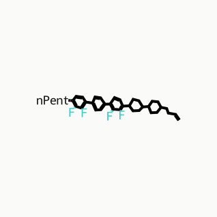 C=CCCC1CCC(C2CCC(c3ccc(-c4ccc(-c5ccc(CCCCC)c(F)c5F)cc4)c(F)c3F)CC2)CC1